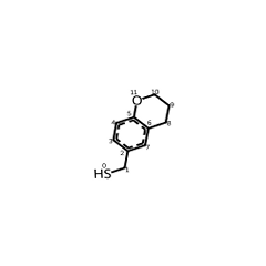 SCc1ccc2c(c1)CCCO2